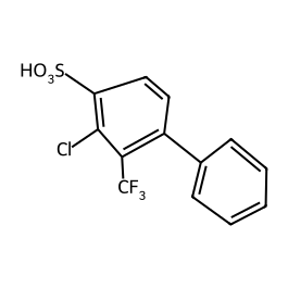 O=S(=O)(O)c1ccc(-c2ccccc2)c(C(F)(F)F)c1Cl